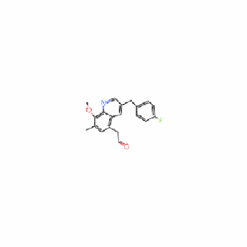 COc1c(C)cc(CC=O)c2cc(Cc3ccc(F)cc3)cnc12